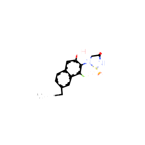 COCc1ccc2cc(O)c(N3CC(=O)NS3(=O)=O)c(F)c2c1